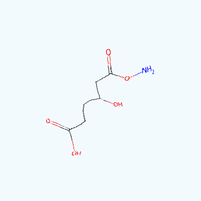 NOC(=O)CC(O)CCC(=O)O